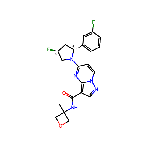 CC1(NC(=O)c2cnn3ccc(N4C[C@@H](F)C[C@@H]4c4cccc(F)c4)nc23)COC1